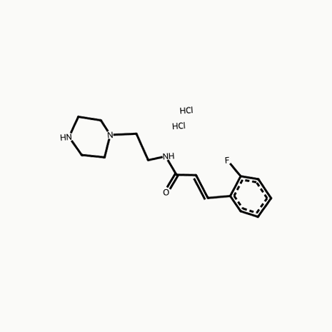 Cl.Cl.O=C(C=Cc1ccccc1F)NCCN1CCNCC1